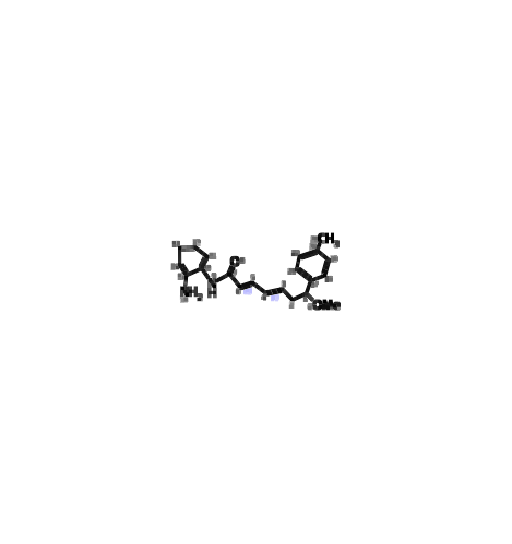 COC(C/C=C/C=C/C(=O)Nc1ccccc1N)c1ccc(C)cc1